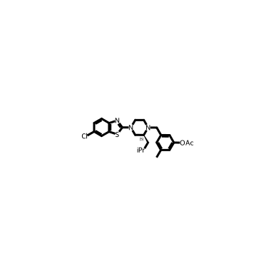 CC(=O)Oc1cc(C)cc(CN2CCN(c3nc4ccc(Cl)cc4s3)C[C@@H]2CC(C)C)c1